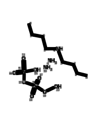 CCCCNCCCC.N.N.O=S(=O)(O)OS(=O)(=O)OO